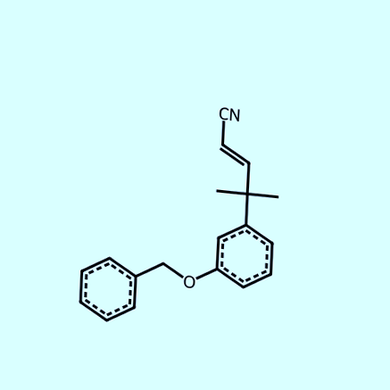 CC(C)(/C=C/C#N)c1cccc(OCc2ccccc2)c1